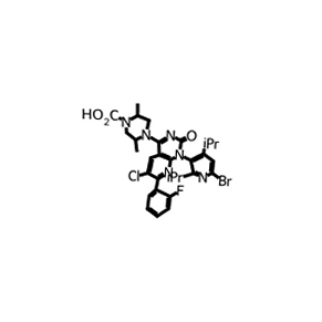 CC(C)c1cc(Br)nc(C(C)C)c1-n1c(=O)nc(N2CC(C)N(C(=O)O)CC2C)c2cc(Cl)c(-c3ccccc3F)nc21